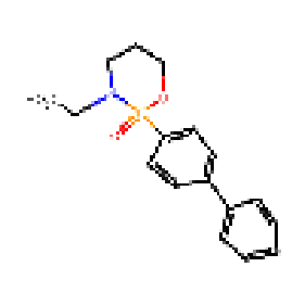 O=C(O)CN1CCCOP1(=O)c1ccc(-c2ccccc2)cc1